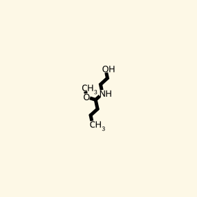 CCCC(NCCO)OC